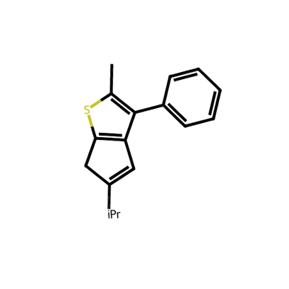 Cc1sc2c(c1-c1ccccc1)C=C(C(C)C)C2